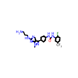 Cn1nc(-c2ccc(NC(=O)Nc3cc(C(F)(F)F)ccc3F)cc2)c2cnc(NCCCN)nc21